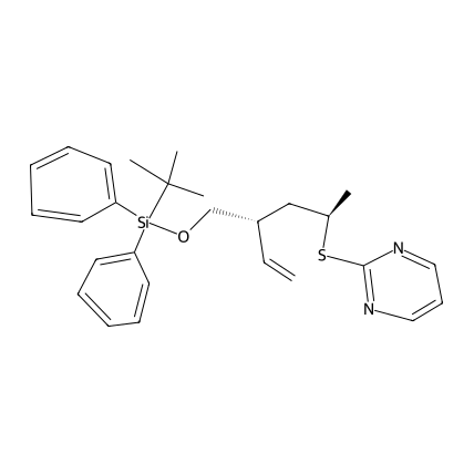 C=C[C@H](CO[Si](c1ccccc1)(c1ccccc1)C(C)(C)C)C[C@@H](C)Sc1ncccn1